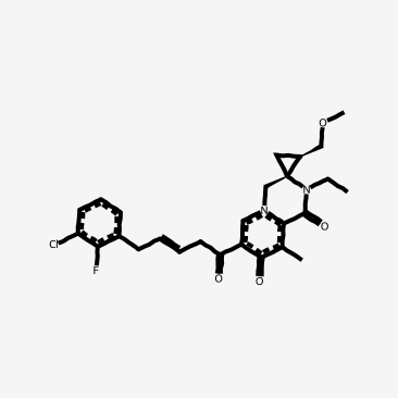 CCN1C(=O)c2c(C)c(=O)c(C(=O)C/C=C/Cc3cccc(Cl)c3F)cn2C[C@]12C[C@H]2COC